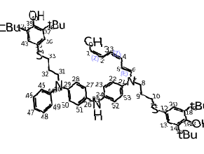 C\C=C/C=C\C=C\N(CCCSc1cc(C(C)(C)C)c(O)c(C(C)(C)C)c1)c1ccc(Nc2ccc(N(CCCSc3cc(C(C)(C)C)c(O)c(C(C)(C)C)c3)c3ccccc3)cc2)cc1